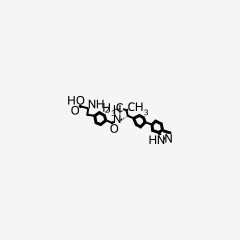 CC(C)[C@@H](CNC(=O)c1ccc(CC(N)C(=O)O)cc1)c1ccc(-c2ccc3cn[nH]c3c2)cc1